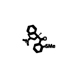 CSc1ccccc1C(=O)[C@@](C)(C[C@H](C)N(C)C)c1ccccc1